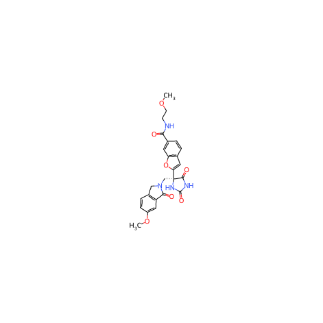 COCCNC(=O)c1ccc2cc([C@]3(CN4Cc5ccc(OC)cc5C4=O)NC(=O)NC3=O)oc2c1